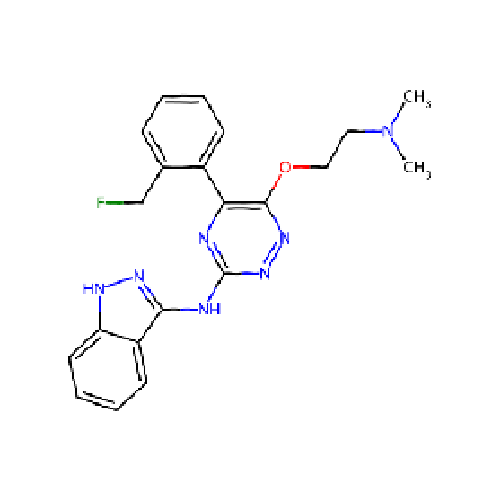 CN(C)CCOc1nnc(Nc2n[nH]c3ccccc23)nc1-c1ccccc1CF